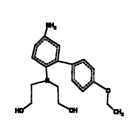 CCOc1ccc(-c2cc(N)ccc2N(CCO)CCO)cc1